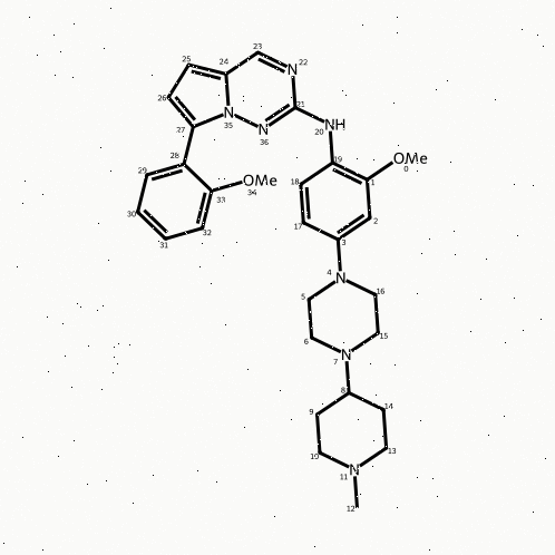 COc1cc(N2CCN(C3CCN(C)CC3)CC2)ccc1Nc1ncc2ccc(-c3ccccc3OC)n2n1